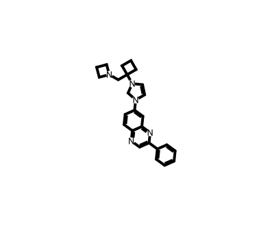 C1=CN(C2(CN3CCC3)CCC2)CN1c1ccc2ncc(-c3ccccc3)nc2c1